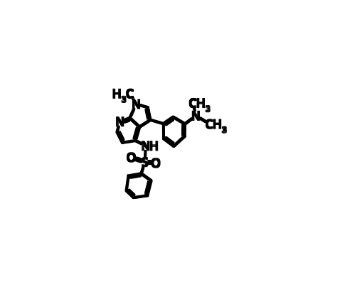 CN(C)c1cccc(-c2cn(C)c3nccc(NS(=O)(=O)c4ccccc4)c23)c1